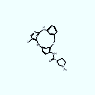 CC(=O)N1CC[C@@H](C(=O)Nc2ccc3cc2CCc2cccc(c2)Nc2ncc(Cl)c(n2)N3)C1